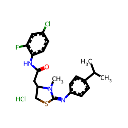 CC(C)c1ccc(N=C2SCC(CC(=O)Nc3ccc(Cl)cc3F)N2C)cc1.Cl